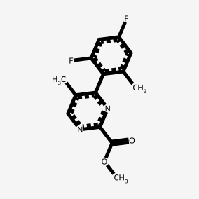 COC(=O)c1ncc(C)c(-c2c(C)cc(F)cc2F)n1